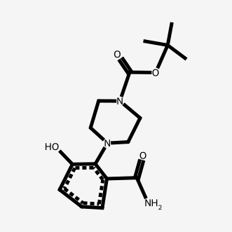 CC(C)(C)OC(=O)N1CCN(c2c(O)cccc2C(N)=O)CC1